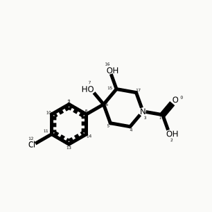 O=C(O)N1CCC(O)(c2ccc(Cl)cc2)C(O)C1